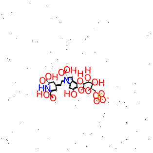 O=C(O)C1=C/C(=C/C=[N+]2\c3cc(O)c(O[C@@H]4O[C@H](COS(=O)(=O)[O-])[C@@H](O)[C@H](O)[C@H]4O)cc3C[C@H]2C(=O)O)C[C@H](C(=O)O)N1